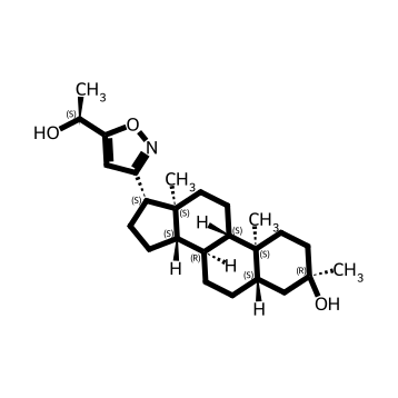 C[C@H](O)c1cc([C@H]2CC[C@H]3[C@@H]4CC[C@H]5C[C@](C)(O)CC[C@]5(C)[C@H]4CC[C@]23C)no1